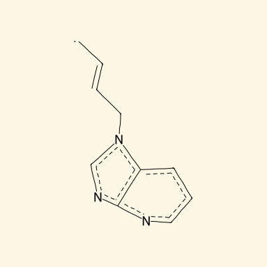 [CH2]C=CCn1cnc2ncccc21